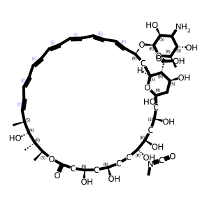 CN=C=O.C[C@@H]1[C@H](O)[C@@H](C)/C=C/C=C/C=C/C=C/C=C/C=C/C=C/[C@H](O[C@@H]2O[C@H](C)[C@@H](O)C(N)[C@@H]2O)C[C@@H]2O[C@](O)(C[C@@H](O)C[C@@H](O)[C@H](O)CC[C@@H](O)C[C@@H](O)CC(=O)O[C@H]1C)C[C@H](O)[C@H]2C(=O)O